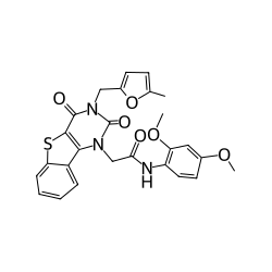 COc1ccc(NC(=O)Cn2c(=O)n(Cc3ccc(C)o3)c(=O)c3sc4ccccc4c32)c(OC)c1